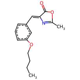 CCCCOc1cccc(/C=C2\N=C(C)OC2=O)c1